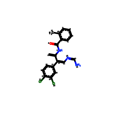 C=C(NC(=O)c1ccccc1C(F)(F)F)/C(=C\N=C/N)c1ccc(Cl)c(Cl)c1